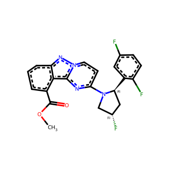 COC(=O)c1cccc2nn3ccc(N4C[C@@H](F)C[C@@H]4c4cc(F)ccc4F)nc3c12